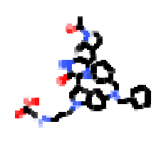 CC(=O)N1CCc2cc3nc(-c4cn(CCCN)c5ccc(N(Cc6ccccc6)Cc6ccccc6)cc45)c(=O)[nH]c3cc21.CC(=O)O